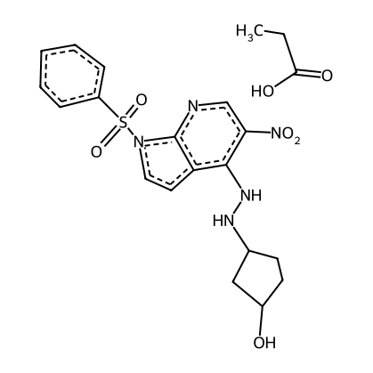 CCC(=O)O.O=[N+]([O-])c1cnc2c(ccn2S(=O)(=O)c2ccccc2)c1NNC1CCC(O)C1